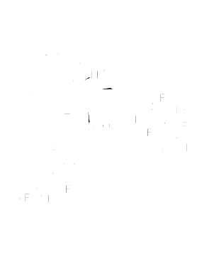 O=C(OCC(F)(F)C(F)(F)C(F)(F)F)[C@@H]1[C@H]2CC/C=C\CC[C@@H]2[C@@H]1C(=O)OCC(F)(F)C(F)(F)C(F)(F)F